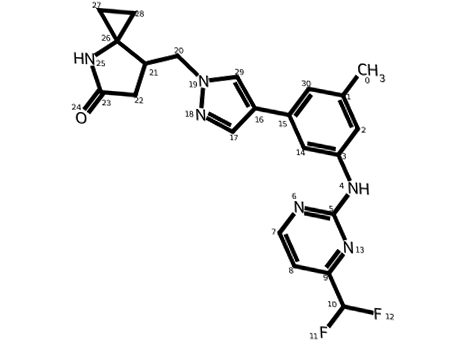 Cc1cc(Nc2nccc(C(F)F)n2)cc(-c2cnn(CC3CC(=O)NC34CC4)c2)c1